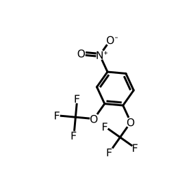 O=[N+]([O-])c1ccc(OC(F)(F)F)c(OC(F)(F)F)c1